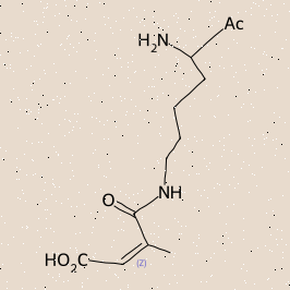 CC(=O)C(N)CCCCNC(=O)/C(C)=C\C(=O)O